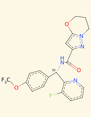 O=C(N[C@@H](c1ccc(OC(F)(F)F)cc1)c1ncccc1F)c1cc2n(n1)CCCO2